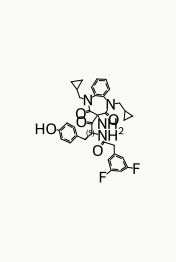 NC1(C(=O)[C@H](Cc2ccc(O)cc2)NC(=O)Cc2cc(F)cc(F)c2)C(=O)N(CC2CC2)c2ccccc2N(CC2CC2)C1=O